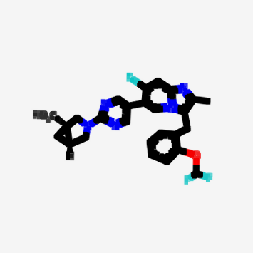 Cc1nc2cc(F)c(-c3cnc(N4C[C@@H]5C[C@]5(C(=O)O)C4)nc3)cn2c1Cc1ccccc1OC(F)F